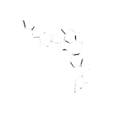 C=CC(=O)NC1CCC(n2nc(-c3ccc(OC4CC5CC5C4)cc3)c3c(N)n[nH]c(=O)c32)CC1